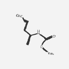 C=C(CCC=O)NC(=O)OC(C)(C)C